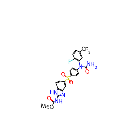 COC(=O)Nc1nc2cc(S(=O)(=O)c3ccc(N(C(N)=O)c4cc(C(F)(F)F)ccc4F)cc3)ccc2[nH]1